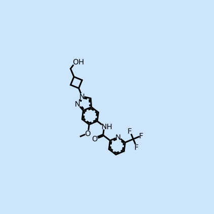 COc1cc2nn(C3CC(CO)C3)cc2cc1NC(=O)c1cccc(C(F)(F)F)n1